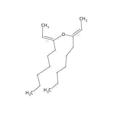 C/C=C(/CCCCCC)O/C(=C\C)CCCCCC